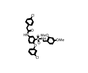 COc1ccc(CNS(=O)(=O)c2cc(NC(=O)Cc3ccc(Cl)cc3)ccc2Oc2cccc(Cl)c2)c(OC)c1